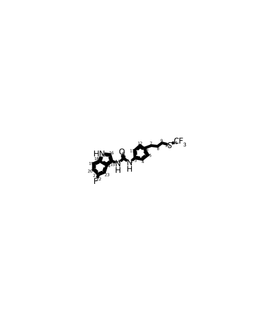 O=C(Nc1ccc(CCCSC(F)(F)F)cc1)Nc1c[nH]c2ccc(F)cc12